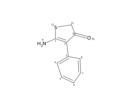 NC1=C(c2ccccc2)C(=O)CS1